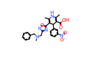 CC1=C(C(=O)O)C(c2cccc([N+](=O)[O-])c2)C(c2nc(CN(C)Cc3ccccc3)no2)=C(C)N1